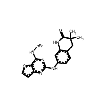 CCCNc1nc(Nc2ccc3c(c2)NC(=O)C(C)(C)C3)nc2ccoc12